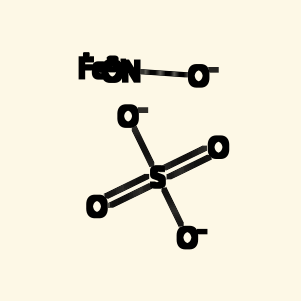 O=N[O-].O=S(=O)([O-])[O-].[Fe+3]